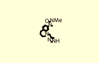 CNC(=O)N(C)c1ccc2c(c1)N(Cc1c[nH]cn1)CCCC2